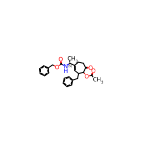 CC(=O)OC1C(=O)CCC([C@H](C)NC(=O)OCc2ccccc2)=CC1Cc1ccccc1